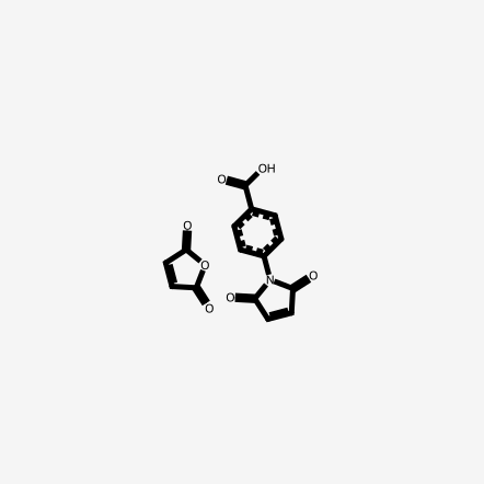 O=C(O)c1ccc(N2C(=O)C=CC2=O)cc1.O=C1C=CC(=O)O1